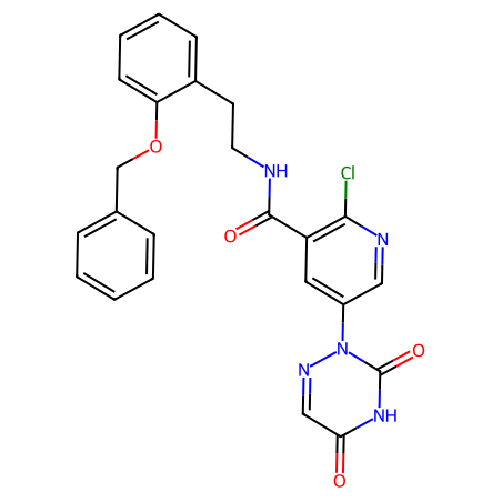 O=C(NCCc1ccccc1OCc1ccccc1)c1cc(-n2ncc(=O)[nH]c2=O)cnc1Cl